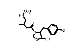 CC(CNC(=O)O)CC(=O)N1COC(O)C1Cc1ccc(Cl)cc1